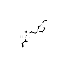 C=CC(=O)NS(=O)(=O)CCN1CCN(CC)C1